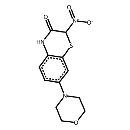 O=C1Nc2ccc(N3CCOCC3)cc2SC1[N+](=O)[O-]